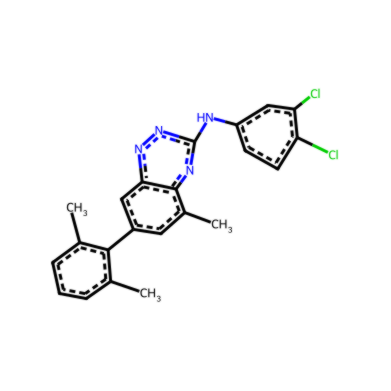 Cc1cccc(C)c1-c1cc(C)c2nc(Nc3ccc(Cl)c(Cl)c3)nnc2c1